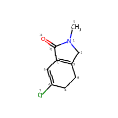 CN1CC2=C(C=C(Cl)CC2)C1=O